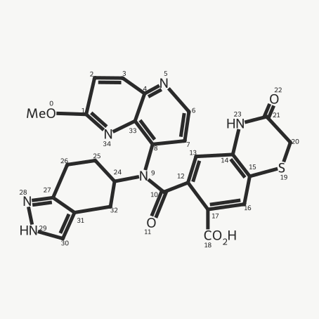 COc1ccc2nccc(N(C(=O)c3cc4c(cc3C(=O)O)SCC(=O)N4)C3CCc4n[nH]cc4C3)c2n1